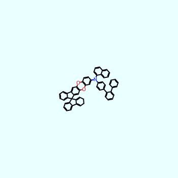 C1=C2C(=CCC1)C1(c3ccccc32)c2ccccc2-c2cc3c(cc21)Oc1cc(N(c2ccc(-c4ccccc4-c4ccccc4)cc2)c2cccc4ccccc24)ccc1O3